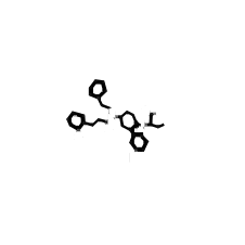 CCC(C(=O)O)n1c2c(c3cc(F)ccc31)CC(N(CCc1ccccc1)C(=O)CCc1ccccc1OC)CC2